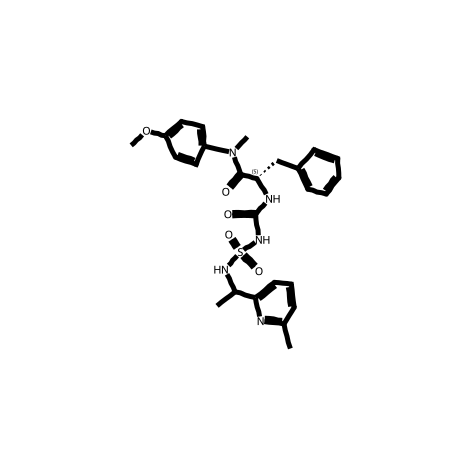 COc1ccc(N(C)C(=O)[C@H](Cc2ccccc2)NC(=O)NS(=O)(=O)NC(C)c2cccc(C)n2)cc1